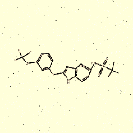 CC(C)(C)S(=O)(=O)Nc1ccc2[nH]c(Oc3cccc(OC(F)(F)F)c3)nc2c1